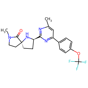 Cc1cc(-c2ccc(OC(F)(F)F)cc2)nc([C@H]2CC[C@@]3(CCN(C)C3=O)N2)n1